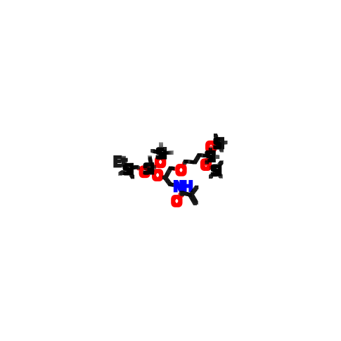 C=C(C)C(=O)NCC(COCCC[Si](C)(O[Si](C)(C)C)O[Si](C)(C)C)O[Si](C)(OC[Si](C)(C)CC)O[Si](C)(C)C